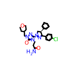 NC(=O)CCn1c(N2C[C@@H](c3ccccc3)C(c3ccc(Cl)cc3)=N2)nn(CC2CCOCC2)c1=O